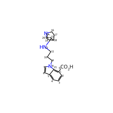 O=C(O)c1cccc2ccn(CCCNC3CN4CCC3CC4)c12